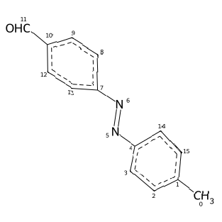 Cc1ccc(N=Nc2ccc(C=O)cc2)cc1